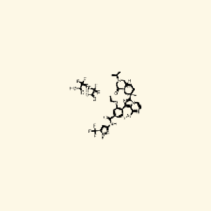 CCOc1cc(C(=O)Nc2cc(C(F)(F)F)n(C)n2)ccc1-c1nc([C@@]2(C)CC[C@@H]3CN(C(C)C)CC(=O)N3C2)n2ccnc([AsH2])c12.O=C(O)C(F)(F)F.O=C(O)C(F)(F)F